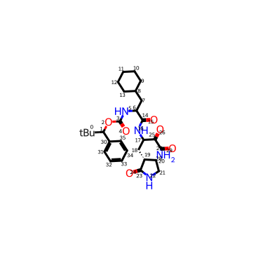 CC(C)(C)C(OC(=O)NC(CC1CCCCC1)C(=O)NC(C[C@@H]1CCNC1=O)C(=O)C(N)=O)c1ccccc1